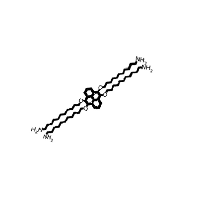 NCCCCCCCCCCCOc1c(OCCCCCCCCCCCN)c2cccc3c(OCCCCCCCCCCCN)c(OCCCCCCCCCCCN)c4cccc1c4c23